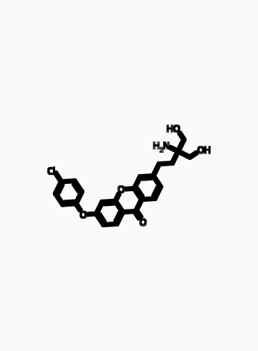 NC(CO)(CO)CCc1ccc2c(=O)c3ccc(Oc4ccc(Cl)cc4)cc3oc2c1